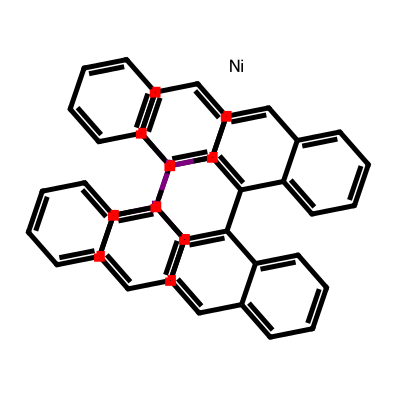 [Ni].c1ccc(P(c2ccccc2)c2ccc3ccccc3c2-c2c(P(c3ccccc3)c3ccccc3)ccc3ccccc23)cc1